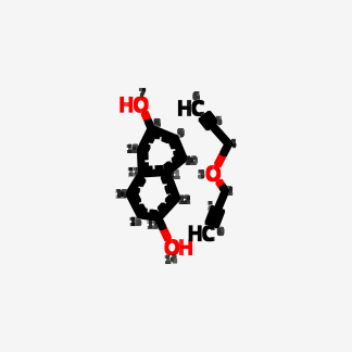 C#CCOCC#C.Oc1ccc2cc(O)ccc2c1